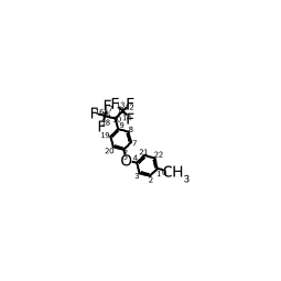 Cc1ccc(Oc2ccc(C(C(F)(F)F)C(F)(F)F)cc2)cc1